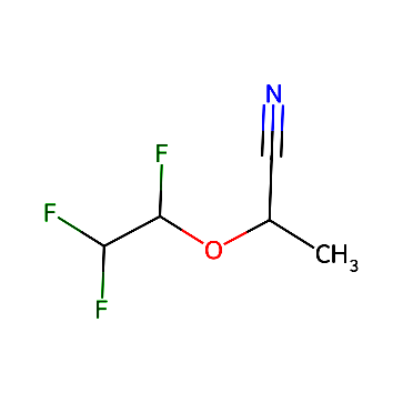 CC(C#N)OC(F)C(F)F